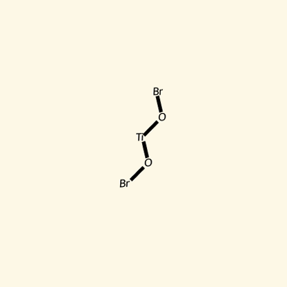 Br[O][Ti][O]Br